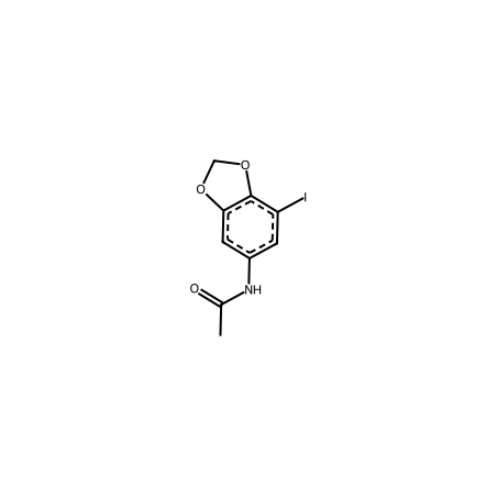 CC(=O)Nc1cc(I)c2c(c1)OCO2